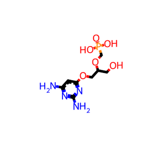 Nc1cc(OCC(CO)OCP(=O)(O)O)nc(N)n1